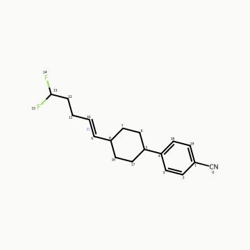 N#Cc1ccc(C2CCC(/C=C/CCC(F)F)CC2)cc1